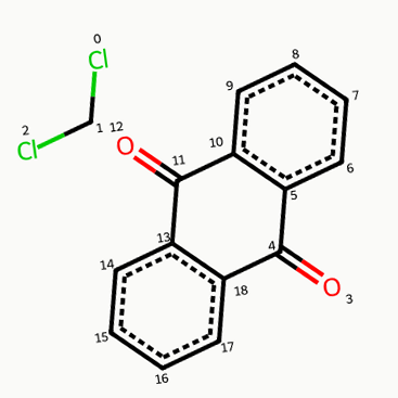 ClCCl.O=C1c2ccccc2C(=O)c2ccccc21